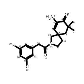 CC1(C)CC2(C=C(N)C1=O)CCN(C(=O)Cc1cc(F)cc(Cl)c1)C2